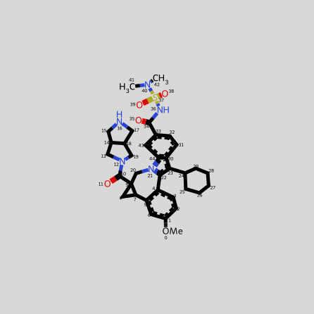 COc1ccc2c(c1)C1CC1(C(=O)N1CC3CNCC3C1)Cn1c-2c(C2CCCCC2)c2ccc(C(=O)NS(=O)(=O)N(C)C)cc21